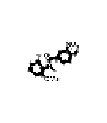 COc1cccc(F)c1N(C)C(=O)c1ccc(F)c([N+](=O)[O-])c1